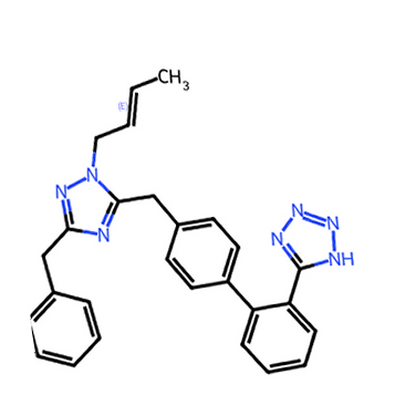 C/C=C/Cn1nc(Cc2ccccc2)nc1Cc1ccc(-c2ccccc2-c2nnn[nH]2)cc1